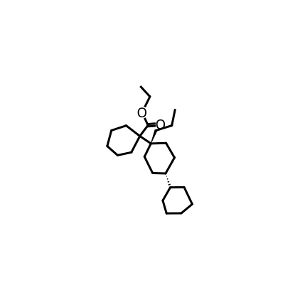 CCC[C@]1(C2(C(=O)OCC)CCCCC2)CC[C@@H](C2CCCCC2)CC1